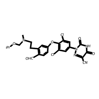 CC(C)OCN(C)CCc1cc(Oc2c(Cl)cc(-n3nc(C#N)c(=O)[nH]c3=O)cc2Cl)ccc1C=O